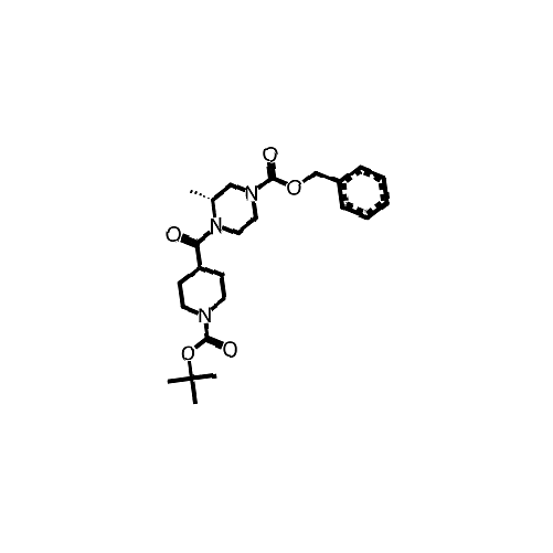 C[C@@H]1CN(C(=O)OCc2ccccc2)CCN1C(=O)C1CCN(C(=O)OC(C)(C)C)CC1